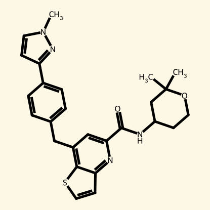 Cn1ccc(-c2ccc(Cc3cc(C(=O)NC4CCOC(C)(C)C4)nc4ccsc34)cc2)n1